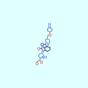 Cn1c(=O)n(C2CCC(C(=O)C=O)NC2)c2cccc(N3CCC(COC4CCNCC4)CC3)c21